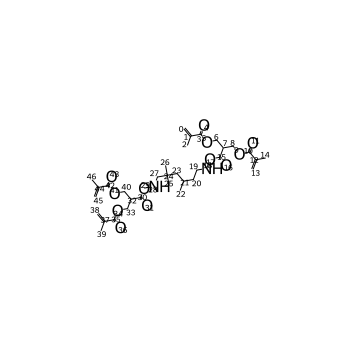 C=C(C)C(=O)OCC(COC(=O)C(=C)C)C(=O)ONCCC(C)CC(C)(C)CNOC(=O)C(COC(=O)C(=C)C)COC(=O)C(=C)C